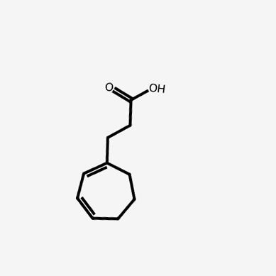 O=C(O)CCC1=CC=CCCC1